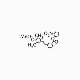 COCOc1c(C)cc(C=Cc2cccc(C(=O)Oc3ccccc3[N+](=O)[O-])c2)cc1C